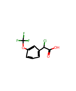 O=C(O)C(Cl)c1cccc(OC(F)(F)F)c1